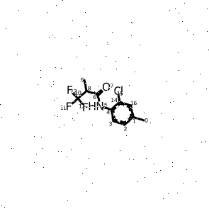 Cc1ccc(NC(=O)C(C)C(F)(F)F)c(Cl)c1